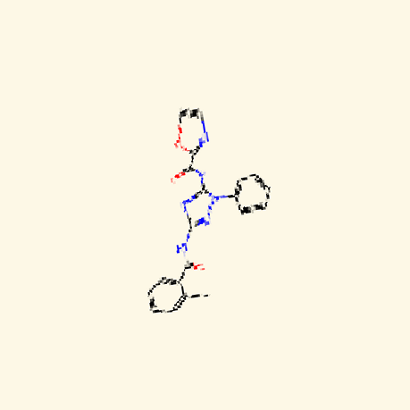 Cc1ccccc1C(=O)Nc1nc(NC(=O)c2ncco2)n(-c2ccccc2)n1